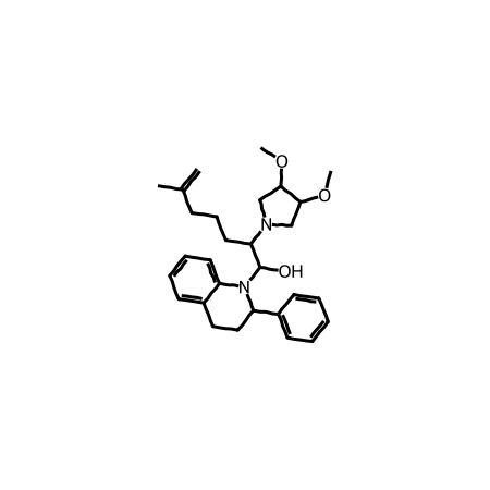 C=C(C)CCCC(C(O)N1c2ccccc2CCC1c1ccccc1)N1CC(OC)C(OC)C1